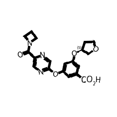 O=C(O)c1cc(Oc2cnc(C(=O)N3CCC3)cn2)cc(O[C@H]2CCOC2)c1